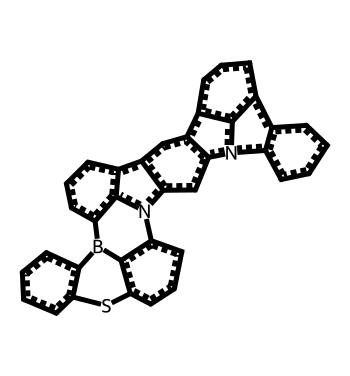 c1ccc2c(c1)Sc1cccc3c1B2c1cccc2c4cc5c6cccc7c8ccccc8n(c5cc4n-3c12)c76